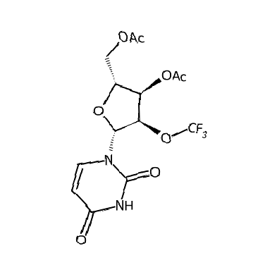 CC(=O)OC[C@H]1O[C@@H](n2ccc(=O)[nH]c2=O)[C@H](OC(F)(F)F)[C@@H]1OC(C)=O